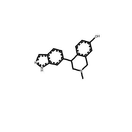 CN1Cc2cc(O)ccc2C(c2ccc3cn[nH]c3c2)C1